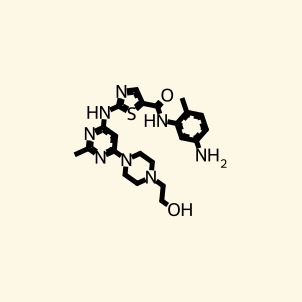 Cc1nc(Nc2ncc(C(=O)Nc3cc(N)ccc3C)s2)cc(N2CCN(CCO)CC2)n1